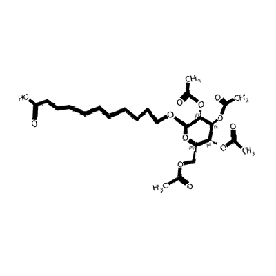 CC(=O)OC[C@H]1OC(OCCCCCCCCCCC(=O)O)[C@H](OC(C)=O)[C@@H](OC(C)=O)[C@@H]1OC(C)=O